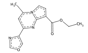 CCOC(=O)c1ccn2c(C)cc(-c3cocn3)nc12